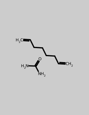 C=CCCCCC=C.NC(N)=O